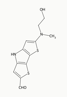 CN(CCO)c1cc2[nH]c3cc(C=O)sc3c2s1